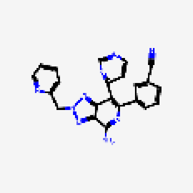 N#Cc1cccc(-c2nc(N)c3nn(Cc4ccccn4)nc3c2-c2ccncn2)c1